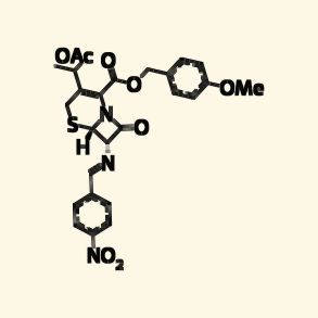 COc1ccc(COC(=O)C2=C(C(C)OC(C)=O)CS[C@H]3[C@@H](N=Cc4ccc([N+](=O)[O-])cc4)C(=O)N23)cc1